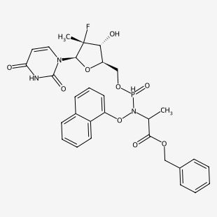 CC(C(=O)OCc1ccccc1)N(Oc1cccc2ccccc12)[PH](=O)OC[C@H]1O[C@@H](n2ccc(=O)[nH]c2=O)[C@](C)(F)[C@@H]1O